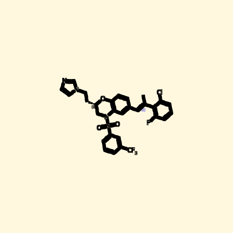 C/C(=C\c1ccc2c(c1)N(S(=O)(=O)c1cccc(C(F)(F)F)c1)C[C@H](CCn1ccnc1)O2)c1c(F)cccc1Cl